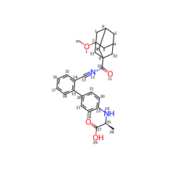 COC12CC3CC(C1)CC(C(=O)[N+]#Cc1ccccc1-c1ccc(N[C@@H](C)C(=O)O)cc1)(C3)C2